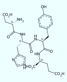 N[C@@H](CC(=O)O)C(=O)N[C@@H](Cc1c[nH]cn1)C(=O)N[C@@H](Cc1ccc(O)cc1)C(=O)N[C@@H](CCC(=O)O)C(=O)O